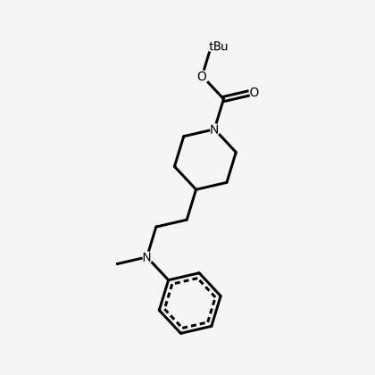 CN(CCC1CCN(C(=O)OC(C)(C)C)CC1)c1ccccc1